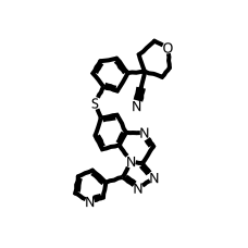 N#CC1(c2cccc(Sc3ccc4c(c3)ncc3nnc(-c5cccnc5)n34)c2)CCOCC1